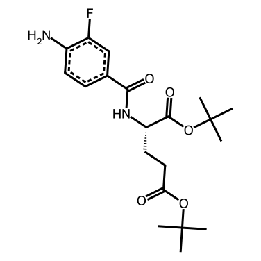 CC(C)(C)OC(=O)CC[C@H](NC(=O)c1ccc(N)c(F)c1)C(=O)OC(C)(C)C